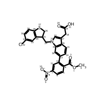 COC(=O)c1ccc([N+](=O)[O-])cc1-c1ccc2c(CC(=O)O)cn(CC3CSc4ccc(Cl)cc43)c2c1